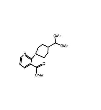 COC(=O)c1cccnc1N1CCC(C(OC)OC)CC1